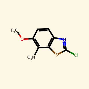 O=[N+]([O-])c1c(OC(F)(F)F)ccc2nc(Cl)sc12